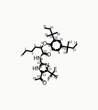 CCCCC(Oc1ccc(C(C)(C)CC)cc1C(C)(C)CC)C(=O)Nc1nc(C(F)(F)F)c(C(C)=O)[nH]1